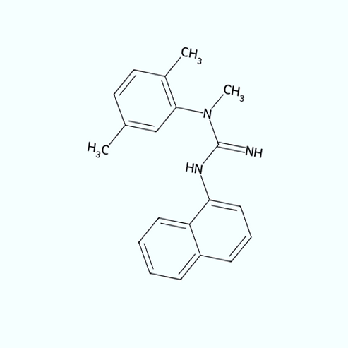 Cc1ccc(C)c(N(C)C(=N)Nc2cccc3ccccc23)c1